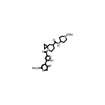 COc1cc(-c2cc(C(=O)N3CCC(C(=O)NC4CCN(SC)CC4)CC34CC4)n[nH]2)c(F)cn1